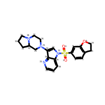 O=S(=O)(c1ccc2c(c1)OCC2)n1cc(N2CCN3CCCC3C2)c2ncccc21